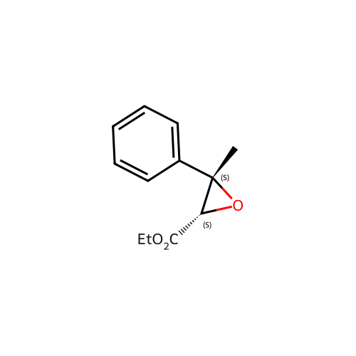 CCOC(=O)[C@H]1O[C@@]1(C)c1ccccc1